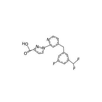 O=C(O)c1ccn(-c2cc(Cc3cc(F)cc(C(F)F)c3)ccn2)n1